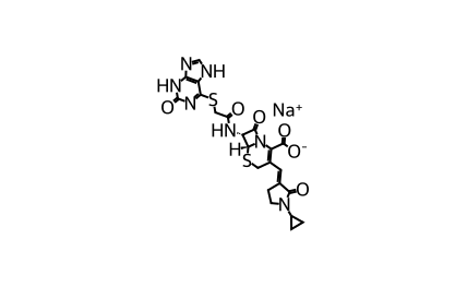 O=C(CSc1nc(=O)[nH]c2nc[nH]c12)N[C@@H]1C(=O)N2C(C(=O)[O-])=C(/C=C3\CCN(C4CC4)C3=O)CS[C@H]12.[Na+]